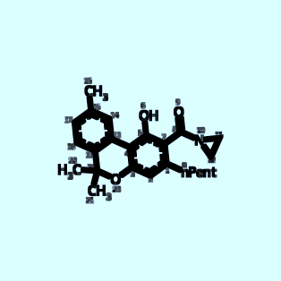 CCCCCc1cc2c(c(O)c1C(=O)N1CC1)-c1cc(C)ccc1C(C)(C)O2